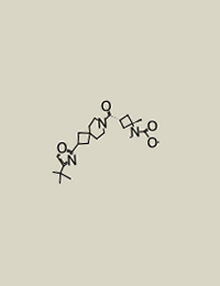 COC(=O)N(C)[C@]1(C)C[C@H](C(=O)N2CCC3(CC2)CC(c2nc(C(C)(C)C)co2)C3)C1